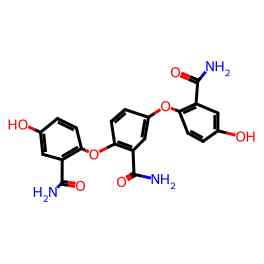 NC(=O)c1cc(O)ccc1Oc1ccc(Oc2ccc(O)cc2C(N)=O)c(C(N)=O)c1